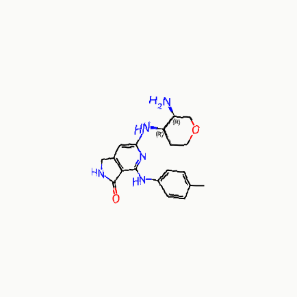 Cc1ccc(Nc2nc(N[C@@H]3CCOC[C@@H]3N)cc3c2C(=O)NC3)cc1